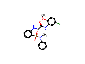 COc1ccc(Cl)cc1NC(=O)CNc1ccccc1S(=O)(=O)N(C)c1ccccc1